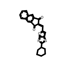 O=C1C(=Cc2cc3sc(C4CCCCC4)nc3o2)C(=O)c2cc3ccccc3cc21